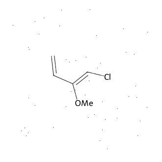 C=C/C(=C/Cl)OC